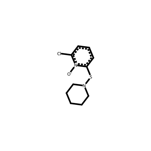 [O-][n+]1c(Cl)cccc1SN1CCCCC1